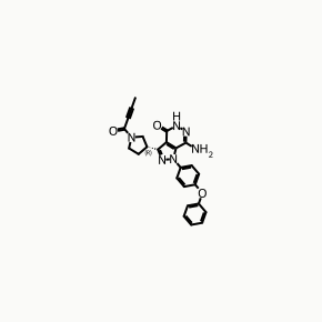 CC#CC(=O)N1CC[C@@H](c2nn(-c3ccc(Oc4ccccc4)cc3)c3c(N)n[nH]c(=O)c23)C1